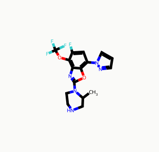 CC1CNCCN1c1nc2c(OC(F)(F)F)c(F)cc(-n3cccn3)c2o1